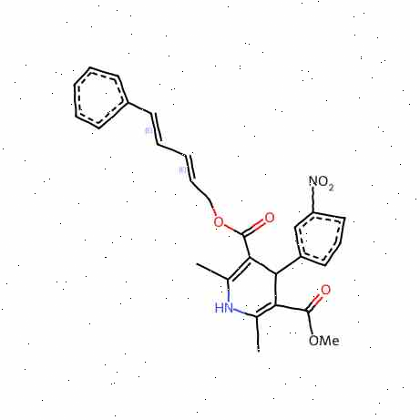 COC(=O)C1=C(C)NC(C)=C(C(=O)OC/C=C/C=C/c2ccccc2)C1c1cccc([N+](=O)[O-])c1